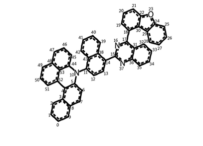 c1ccc2c3c(ccc2c1)N(c1ccc(-c2nc(-c4cccc5oc6ccccc6c45)c4ccccc4n2)c2ccccc12)c1cccc2cccc-3c12